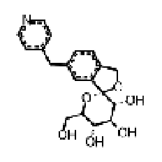 OC[C@H]1O[C@]2(OCc3ccc(Cc4ccncc4)cc32)[C@H](O)[C@@H](O)[C@@H]1O